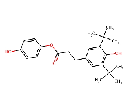 CC(C)(C)c1cc(CCC(=O)Oc2ccc(O)cc2)cc(C(C)(C)C)c1O